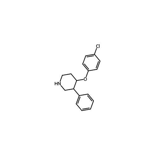 Clc1ccc(OC2CCNCC2c2ccccc2)cc1